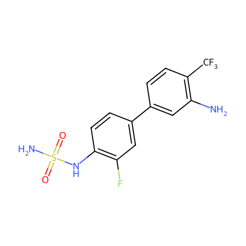 Nc1cc(-c2ccc(NS(N)(=O)=O)c(F)c2)ccc1C(F)(F)F